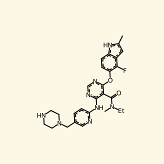 CCN(C)C(=O)c1c(Nc2ccc(CN3CCNCC3)cn2)ncnc1Oc1ccc2[nH]c(C)cc2c1F